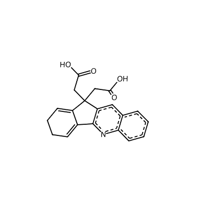 O=C(O)CC1(CC(=O)O)C2=CCCC=C2c2nc3ccccc3cc21